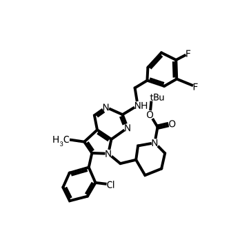 Cc1c(-c2ccccc2Cl)n(CC2CCCN(C(=O)OC(C)(C)C)C2)c2nc(NCc3ccc(F)c(F)c3)ncc12